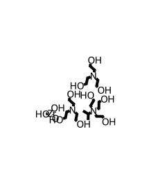 CC(C)[N+](CCO)(CCO)CCO.OCCN(CCO)CCO.OCCN(CCO)CCO.[O]=[Zr]([OH])[OH]